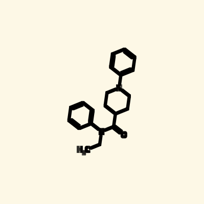 CCN(C(=O)C1CCN(c2ccccc2)CC1)c1ccccc1